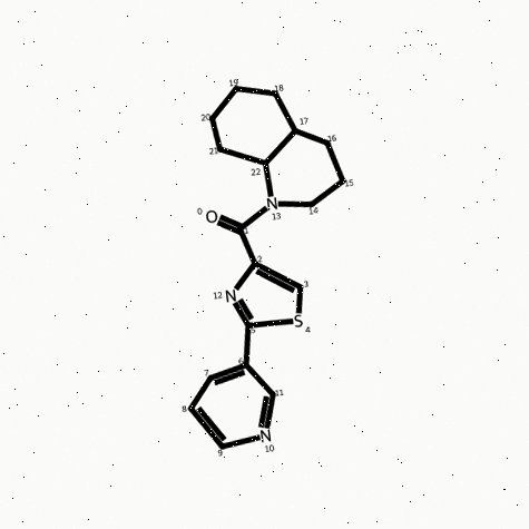 O=C(c1csc(-c2cccnc2)n1)N1CCCC2CCCCC21